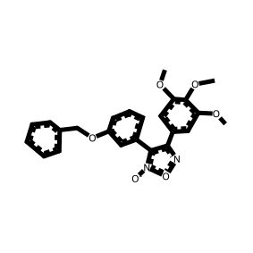 COc1cc(-c2no[n+]([O-])c2-c2cccc(OCc3ccccc3)c2)cc(OC)c1OC